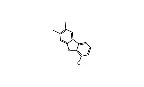 Cc1cc2sc3c(O)cccc3c2cc1C